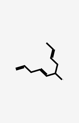 [CH2]C(C=CCC=C)CC=CC